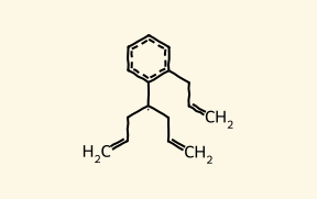 C=CC[C](CC=C)c1ccccc1CC=C